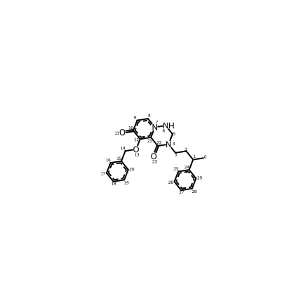 CC(CCN1CNn2ccc(=O)c(OCc3ccccc3)c2C1=O)c1ccccc1